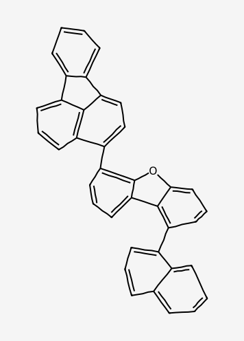 c1ccc2c(c1)-c1cccc3c(-c4cccc5c4oc4cccc(-c6cccc7ccccc67)c45)ccc-2c13